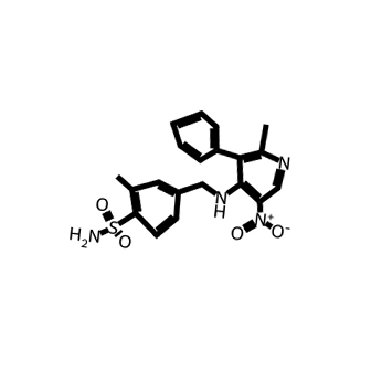 Cc1cc(CNc2c([N+](=O)[O-])cnc(C)c2-c2ccccc2)ccc1S(N)(=O)=O